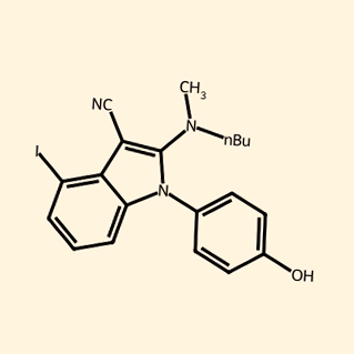 CCCCN(C)c1c(C#N)c2c(I)cccc2n1-c1ccc(O)cc1